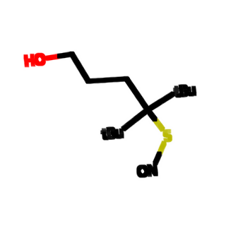 CC(C)(C)C(CCCO)(SN=O)C(C)(C)C